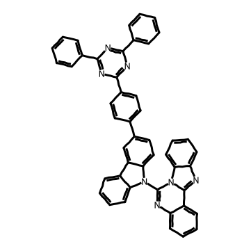 c1ccc(-c2nc(-c3ccccc3)nc(-c3ccc(-c4ccc5c(c4)c4ccccc4n5-c4nc5ccccc5c5nc6ccccc6n45)cc3)n2)cc1